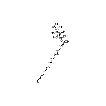 CCCCCCCCCCCCCCCCCCOP(O)OC(O)[C@H](O)[C@@H](O)[C@H](O)[C@H](O)CO